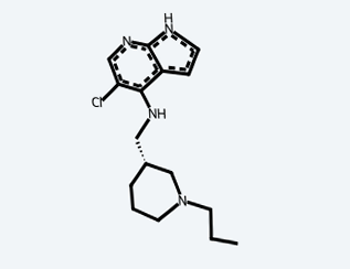 CCCN1CCC[C@H](CNc2c(Cl)cnc3[nH]ccc23)C1